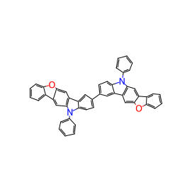 c1ccc(-n2c3ccc(-c4ccc5c(c4)c4cc6oc7ccccc7c6cc4n5-c4ccccc4)cc3c3cc4oc5ccccc5c4cc32)cc1